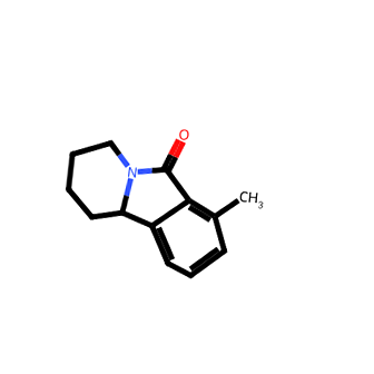 Cc1cccc2c1C(=O)N1CCCCC21